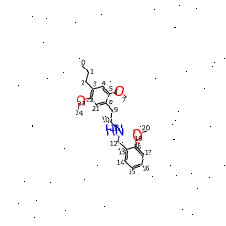 CCCc1cc(OC)c(CCNCc2ccccc2OC)cc1OC